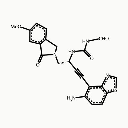 COc1ccc2c(c1)C(=O)N(C[C@@H](C#Cc1c(N)ccc3scnc13)NC(=O)NC=O)C2